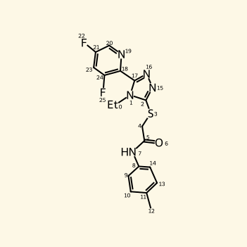 CCn1c(SCC(=O)Nc2ccc(C)cc2)nnc1-c1ncc(F)cc1F